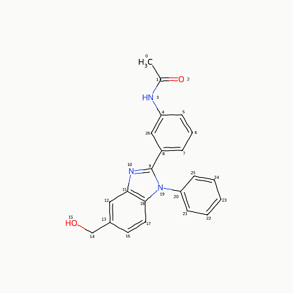 CC(=O)Nc1cccc(-c2nc3cc(CO)ccc3n2-c2ccccc2)c1